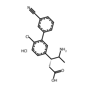 CC(N)[C@H](CC(=O)O)c1ccc(Cl)c(-c2cccc(C#N)c2)c1.Cl